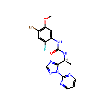 COc1cc(NC(=O)N[C@@H](C)c2ncnn2-c2ncccn2)c(F)cc1Br